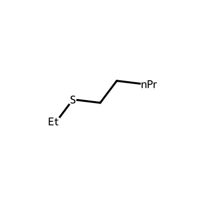 [CH2]CSCCCCC